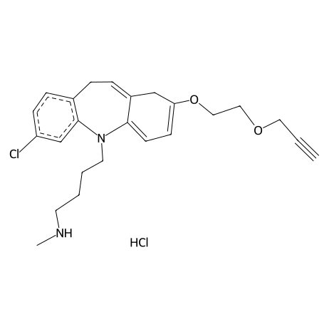 C#CCOCCOC1=CC=C2C(=CCc3ccc(Cl)cc3N2CCCCNC)C1.Cl